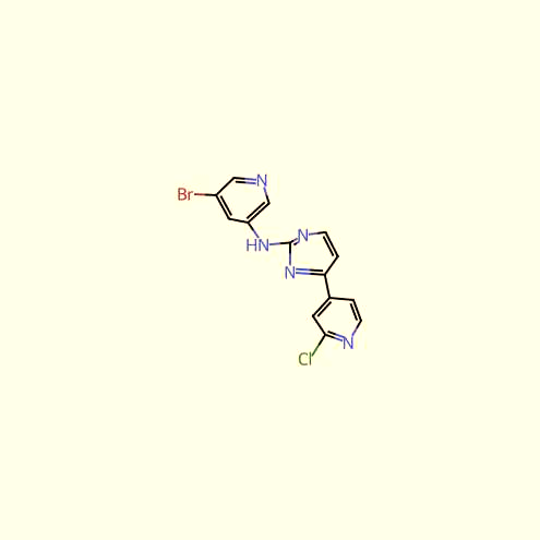 Clc1cc(-c2ccnc(Nc3cncc(Br)c3)n2)ccn1